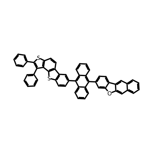 c1ccc(-c2sc3ccc4c5cc(-c6c7ccccc7c(-c7ccc8c(c7)oc7cc9ccccc9cc78)c7ccccc67)ccc5sc4c3c2-c2ccccc2)cc1